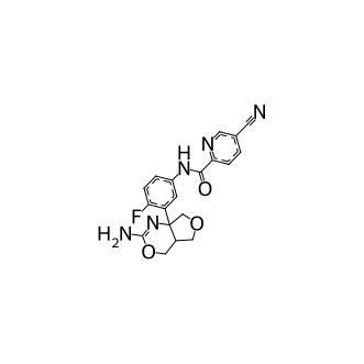 N#Cc1ccc(C(=O)Nc2ccc(F)c(C34COCC3COC(N)=N4)c2)nc1